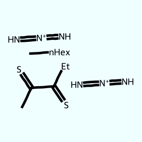 CCC(=S)C(C)=S.CCCCCCC.N=[N+]=N.N=[N+]=N